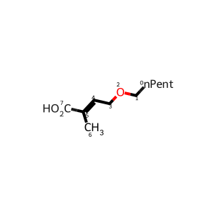 CCCCCCOCC=C(C)C(=O)O